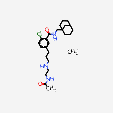 CC(=O)NCCNCCCc1ccc(Cl)c(C(=O)NCC23CCCC(CCC2)C3)c1.[CH2]